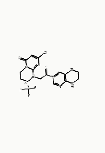 O=C(CN1c2nc(Cl)cc(=O)n2CC[C@H]1C(F)(F)F)c1cnc2c(c1)OCCN2